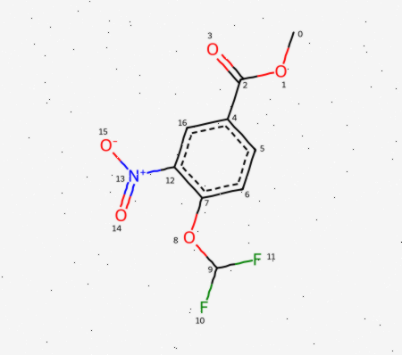 COC(=O)c1ccc(OC(F)F)c([N+](=O)[O-])c1